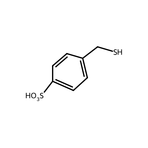 O=S(=O)(O)c1ccc(CS)cc1